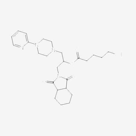 CCCCCC(=O)OC(CN1CCN(c2ccccn2)CC1)CN1C(=O)C2CCCCC2C1=O